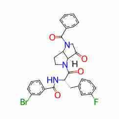 O=C(N[C@@H](Cc1cccc(F)c1)C(=O)N1CCC2[C@H]1C(=O)CN2C(=O)c1ccccc1)c1cccc(Br)c1